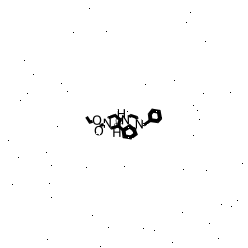 CCOC(=O)N1CC[C@H]2[C@@H](C1)c1cccc3c1N2CCN3Cc1ccccc1